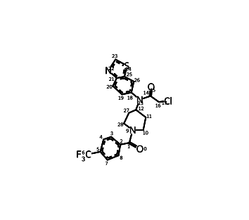 O=C(c1ccc(C(F)(F)F)cc1)N1CCC(N(C(=O)CCl)c2ccc3ncsc3c2)CC1